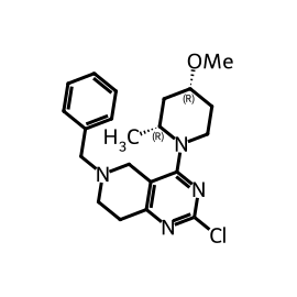 CO[C@@H]1CCN(c2nc(Cl)nc3c2CN(Cc2ccccc2)CC3)[C@H](C)C1